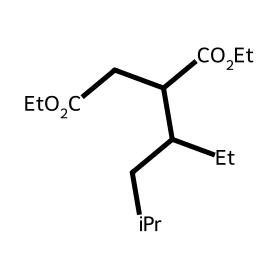 CCOC(=O)CC(C(=O)OCC)C(CC)CC(C)C